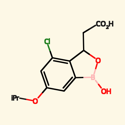 CC(C)Oc1cc(Cl)c2c(c1)B(O)OC2CC(=O)O